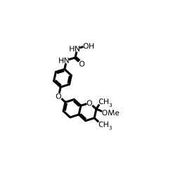 COC1(C)OC2=CC(Oc3ccc(NC(=O)NO)cc3)=CCC2=CC1C